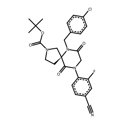 CC(C)(C)OC(=O)N1CC[C@]2(C1)C(=O)N(c1ccc(C#N)cc1F)CC(=O)N2Cc1ccc(Cl)cc1